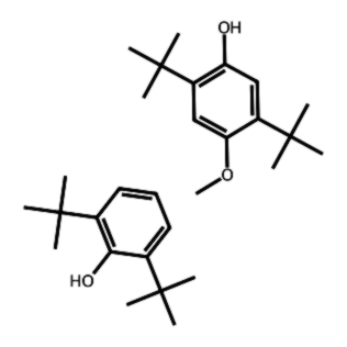 CC(C)(C)c1cccc(C(C)(C)C)c1O.COc1cc(C(C)(C)C)c(O)cc1C(C)(C)C